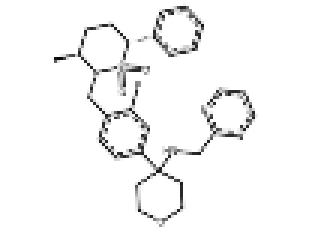 C[C@H]1CC[C@H](c2ccccc2)S(=O)(=O)N1Cc1ccc(C2(NCc3ncccn3)CCOCC2)cc1F